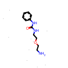 NCCOCCNC(=O)Nc1cc[c]cc1